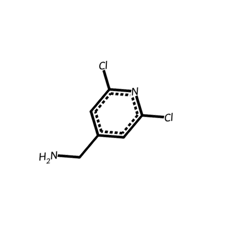 NCc1cc(Cl)nc(Cl)c1